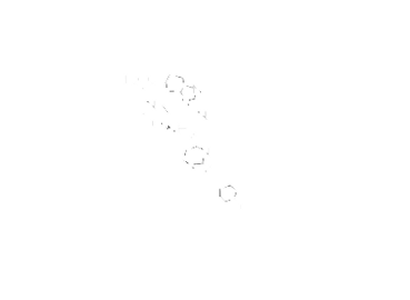 CCN(N)/C(=C\N)Cn1c(CN2CCC(c3ccnc(OCc4ccc(Cl)cc4F)n3)CC2)nc2ccc(C(=O)O)cc21